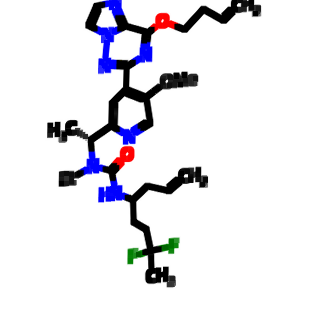 C=CCCOc1nc(-c2cc([C@@H](C)N(CC)C(=O)NC(CC=C)CCC(C)(F)F)ncc2OC)nn2ccnc12